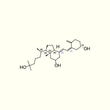 C=C1CC[C@H](O)C/C1=C/C=C1\CC(O)C[C@]2(C)[C@@H]([C@H](C)CCCC(C)(C)O)CC[C@@H]12